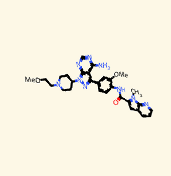 COCCN1CCC(n2nc(-c3ccc(NC(=O)c4cc5cccnc5n4C)c(OC)c3)c3c(N)ncnc32)CC1